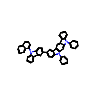 c1ccc(-n2c3ccccc3c3cc4c5cc(-c6ccc7c(c6)c6ccccc6n7-c6cccc7ccccc67)ccc5n(-c5ccccc5)c4cc32)cc1